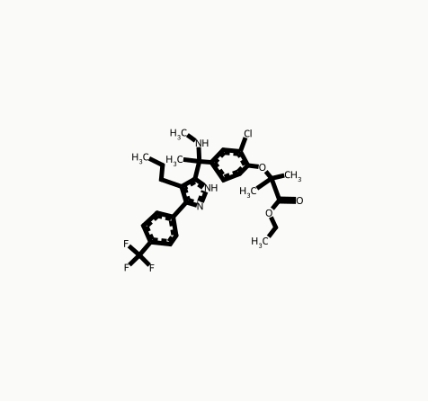 CCCc1c(-c2ccc(C(F)(F)F)cc2)n[nH]c1C(C)(NC)c1ccc(OC(C)(C)C(=O)OCC)c(Cl)c1